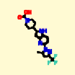 Cc1cc(C(F)(F)F)nn1-c1ccc2[nH]c(C3CCN(C(=O)O)CC3)cc2n1